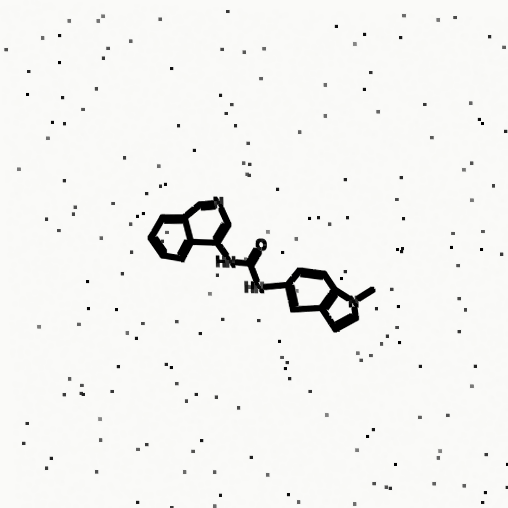 Cn1ccc2cc(NC(=O)Nc3cncc4ccccc34)ccc21